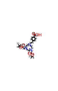 CC(C)(C)OC(=O)CN1CCN(CCc2ccc(C(=O)O)cc2)CCN(CC(=O)OC(C)(C)C)CC1